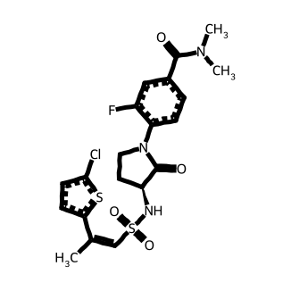 CC(=CS(=O)(=O)N[C@H]1CCN(c2ccc(C(=O)N(C)C)cc2F)C1=O)c1ccc(Cl)s1